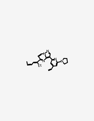 C=Cc1cc(-c2cnn3ccc(/C(=C/C=C\C)CC)nc23)nc(N2CCCC2)c1